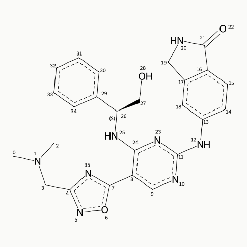 CN(C)Cc1noc(-c2cnc(Nc3ccc4c(c3)CNC4=O)nc2N[C@H](CO)c2ccccc2)n1